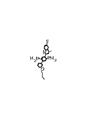 CCCCOc1cccc(-c2cc(P)c(-c3cc(C)c4cc(F)ccc4n3)cc2P)c1